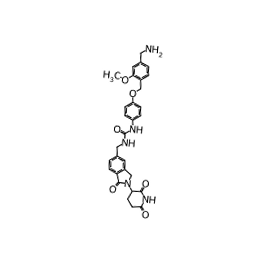 COc1cc(CN)ccc1COc1ccc(NC(=O)NCc2ccc3c(c2)CN(C2CCC(=O)NC2=O)C3=O)cc1